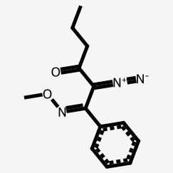 CCCC(=O)C(=[N+]=[N-])/C(=N\OC)c1ccccc1